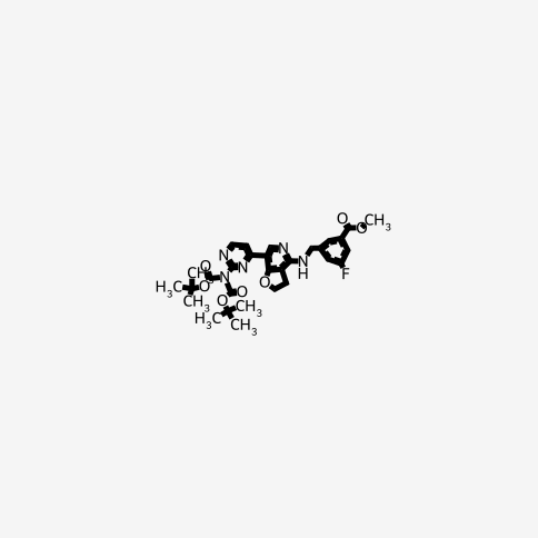 COC(=O)c1cc(F)cc(CNc2ncc(-c3ccnc(N(C(=O)OC(C)(C)C)C(=O)OC(C)(C)C)n3)c3c2CCO3)c1